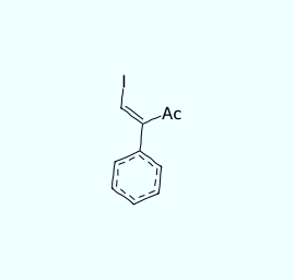 CC(=O)C(=CI)c1ccccc1